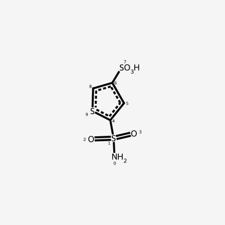 NS(=O)(=O)c1cc(S(=O)(=O)O)cs1